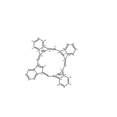 c1ccc2c(c1)-c1cc3[nH]c(cc4nc(nc5[nH]c(cc-2n1)c1ccccc51)-c1ccccc1-4)c1ccccc31